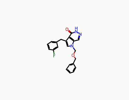 O=c1[nH]ncc2c1c(Cc1cccc(F)c1)cn2COCc1ccccc1